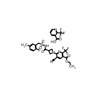 CCOC(=O)c1cc(C#N)c(N2CC(C(=O)NS(=O)(=O)Cc3cc(C)ccc3F)C2)nc1C(F)(F)F.O=C(O)c1cccnc1C(F)(F)F